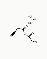 Cl.N#CCC(=O)OC(=O)CCl.[NaH].[NaH]